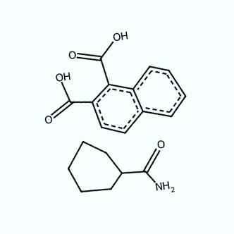 NC(=O)C1CCCCC1.O=C(O)c1ccc2ccccc2c1C(=O)O